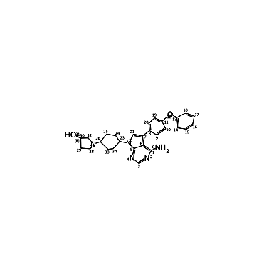 Nc1ncnc2c1c(-c1ccc(Oc3ccccc3)cc1)cn2C1CCC(N2CC[C@@H](O)C2)CC1